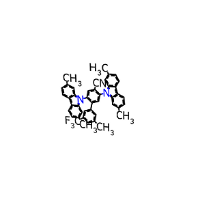 Cc1cc(-c2cc(-n3c4cc(C)ccc4c4ccc(C)cc43)c(C#N)cc2-n2c3cc(C)ccc3c3ccc(C)cc32)cc(C(F)(F)F)c1